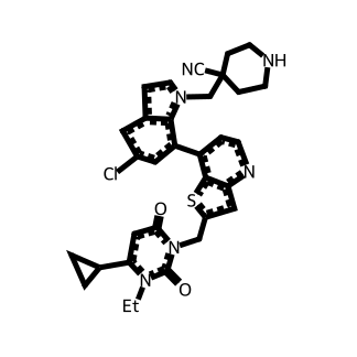 CCn1c(C2CC2)cc(=O)n(Cc2cc3nccc(-c4cc(Cl)cc5ccn(CC6(C#N)CCNCC6)c45)c3s2)c1=O